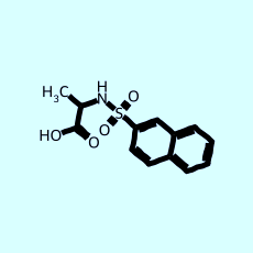 CC(NS(=O)(=O)c1ccc2ccccc2c1)C(=O)O